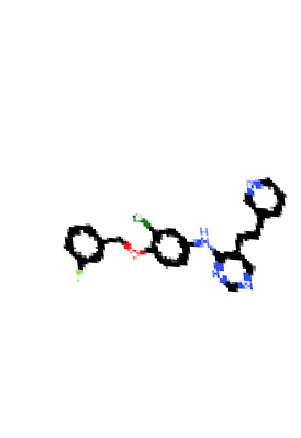 Fc1cccc(COc2ccc(Nc3ncncc3/C=C/c3cccnc3)cc2Cl)c1